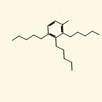 CCCCCc1ccc(P)c(CCCCC)c1CCCCC.I